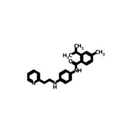 Cc1ccc(C(=O)Nc2ccc(NCCc3ccccn3)cc2)c(C(C)C)c1